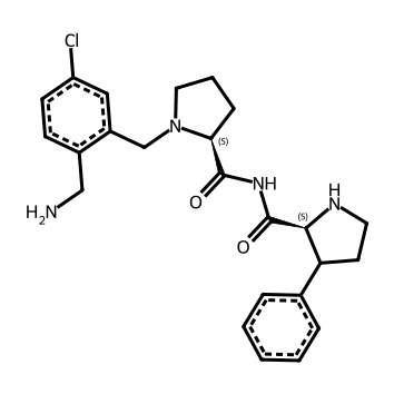 NCc1ccc(Cl)cc1CN1CCC[C@H]1C(=O)NC(=O)[C@H]1NCCC1c1ccccc1